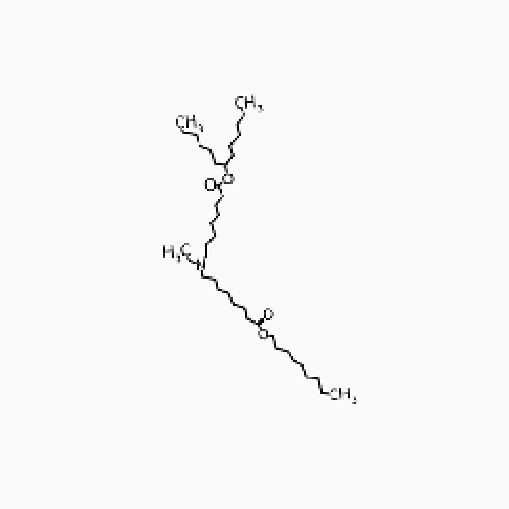 CCCCCCCCCOC(=O)CCCCCCCN(CC)CCCCCCCC(=O)OC(CCCCCC)CCCCCC